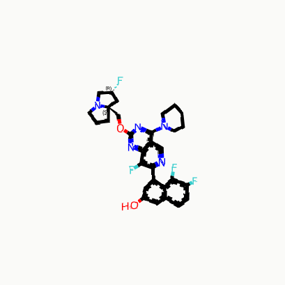 Oc1cc(-c2ncc3c(N4CCCCC4)nc(OC[C@@]45CCCN4C[C@H](F)C5)nc3c2F)c2c(F)c(F)ccc2c1